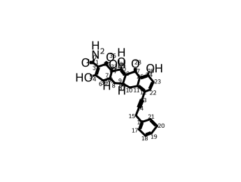 NC(=O)C1=C(O)C[C@@H]2C[C@@H]3Cc4c(C#CCc5ccccc5)ccc(O)c4C(=O)C3=C(O)[C@]2(O)C1=O